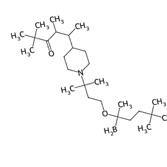 BC(C)(CCC(C)(C)C)OCCC(C)(C)N1CCC(C(C)C(C)C(=O)C(C)(C)C)CC1